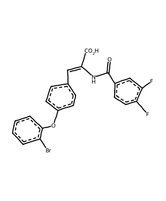 O=C(O)C(=Cc1ccc(Oc2ccccc2Br)cc1)NC(=O)c1ccc(F)c(F)c1